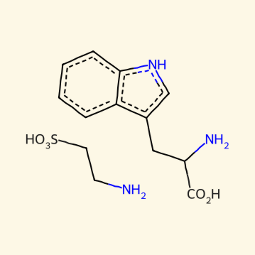 NC(Cc1c[nH]c2ccccc12)C(=O)O.NCCS(=O)(=O)O